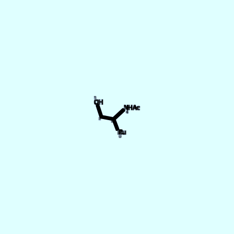 CCC(C)C(CO)NC(C)=O